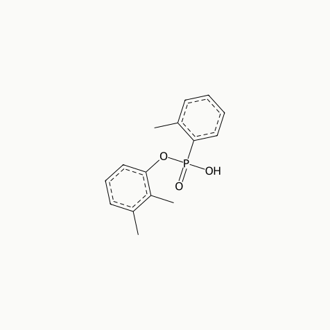 Cc1ccccc1P(=O)(O)Oc1cccc(C)c1C